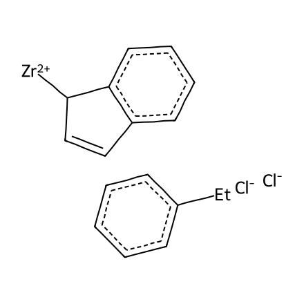 CCc1ccccc1.[Cl-].[Cl-].[Zr+2][CH]1C=Cc2ccccc21